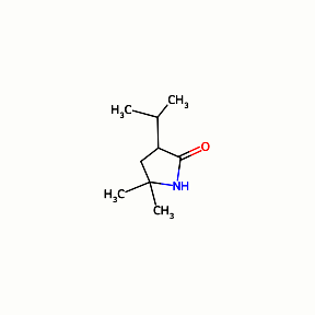 CC(C)C1CC(C)(C)NC1=O